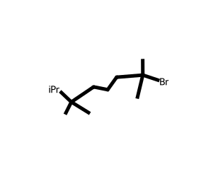 CC(C)C(C)(C)CCCC(C)(C)Br